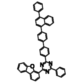 c1ccc(-c2nc(-c3ccc(-c4ccc(-c5ccc(-c6ccccc6)c6ccccc56)cc4)cc3)nc(-c3cccc4c3oc3ccccc34)n2)cc1